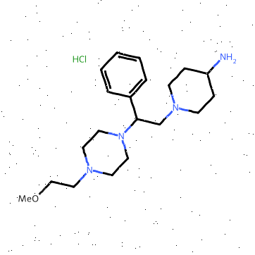 COCCN1CCN(C(CN2CCC(N)CC2)c2ccccc2)CC1.Cl